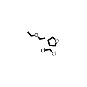 C1CCOC1.CCOCC.ClCCl